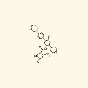 C[C@@H]1CN(c2cc(F)c(-c3ccc(N4CCO[C@@H](C)C4)nc3)cc2NC(=O)c2c[nH]c(=O)cc2C(F)(F)F)C[C@H](C)N1C